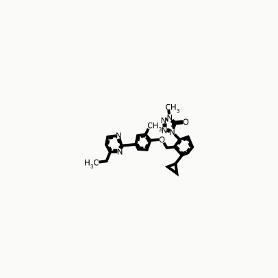 CCc1ccnc(-c2ccc(OCc3c(C4CC4)cccc3-n3nnn(C)c3=O)c(C)c2)n1